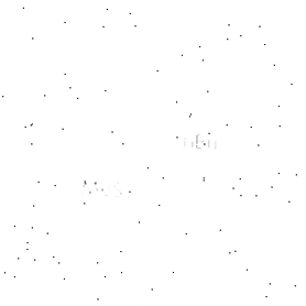 [CH2]CCCCCCCCSC